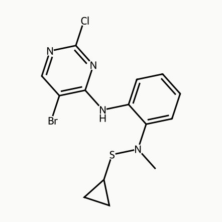 CN(SC1CC1)c1ccccc1Nc1nc(Cl)ncc1Br